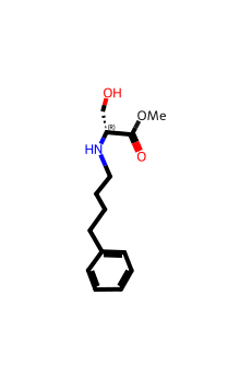 COC(=O)[C@@H](CO)NCCCCc1ccccc1